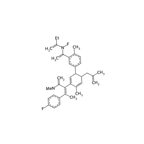 C=C(C)CC1C=C(C)C(/C(C(=C)NC)=C(\C)c2ccc(F)cc2)=CC1c1ccc(C)c(C(=C)N(F)C(=C)CC)c1